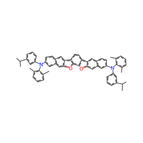 Cc1cccc(C)c1N(c1cccc(C(C)C)c1)c1ccc2cc3c(cc2c1)oc1c3ccc2c3cc4ccc(N(c5cccc(C(C)C)c5)c5c(C)cccc5C)cc4cc3oc21